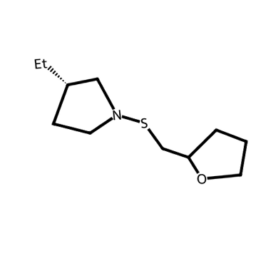 CC[C@H]1CCN(SCC2CCCO2)C1